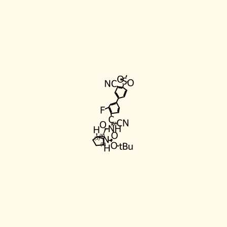 CC(C)(C)OC(=O)N1[C@@H]2CC[C@@H](C2)[C@H]1C(=O)N[C@H](C#N)Cc1ccc(-c2ccc(S(C)(=O)=O)c(C#N)c2)cc1F